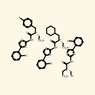 CC(C)C[C@H](CC(=O)O)C(=O)Nc1nc(-c2ccccc2Cl)cs1.O=C(O)C[C@@H](CC1CCCCC1)C(=O)Nc1nc(-c2ccccc2Cl)cs1.O=C(O)C[C@@H](Cc1ccc(F)cc1)C(=O)Nc1nc(-c2ccccc2Cl)cs1